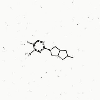 CC1CC2CN(c3ncc(F)c(N)n3)CC2C1